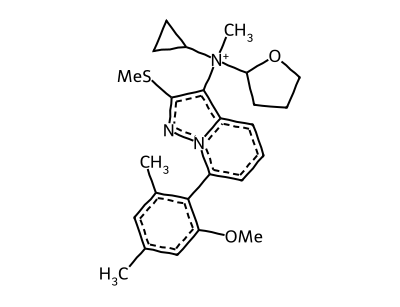 COc1cc(C)cc(C)c1-c1cccc2c([N+](C)(C3CC3)C3CCCO3)c(SC)nn12